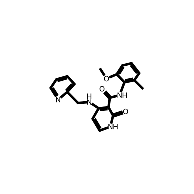 COc1cccc(C)c1NC(=O)c1c(NCc2ccccn2)cc[nH]c1=O